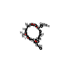 COc1ccc(CC[C@H]2OC(=O)[C@@H]3CCCCN3C(=O)C(=O)C(C)(C)COC(=O)/C=C/NCCN(C)C(=O)[C@H](CC(C)C)N(C)C(=O)[C@H]3CCCN3C(=O)[C@H](Cc3ccc(CC(=O)NCc4ccccc4)cc3)NC(=O)[C@H](c3ccccc3)NC(=O)CCC(=O)Nc3cccc2c3)cc1OC